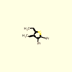 C/C=c1/c(C(C)C)c(C(C)C)s/c1=C/C